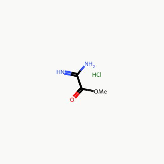 COC(=O)C(=N)N.Cl